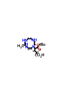 CC1CNCCNCCN(C(CCC(=O)O)C(=O)OC(C)(C)C)CCN1